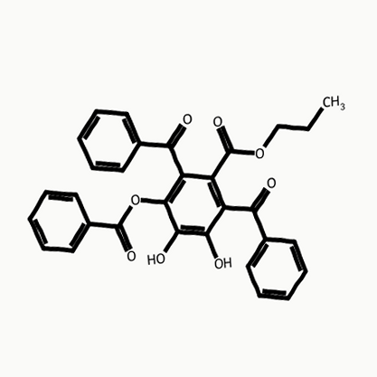 CCCOC(=O)c1c(C(=O)c2ccccc2)c(O)c(O)c(OC(=O)c2ccccc2)c1C(=O)c1ccccc1